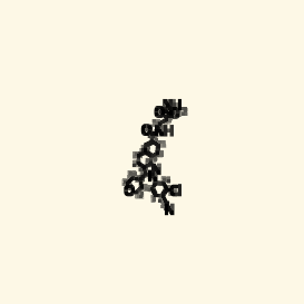 N#Cc1ccc(N2N=C3c4ccc(C(=O)NCCS(N)(=O)=O)cc4CCC3C2C2CCOCC2)cc1Cl